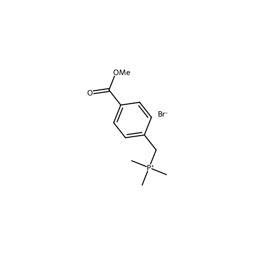 COC(=O)c1ccc(C[P+](C)(C)C)cc1.[Br-]